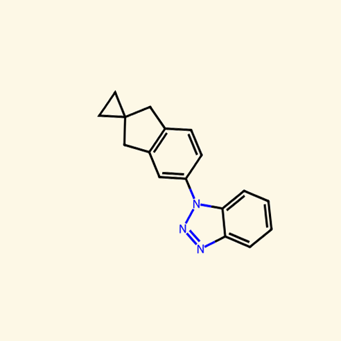 c1ccc2c(c1)nnn2-c1ccc2c(c1)CC1(CC1)C2